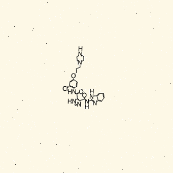 O=C(Nc1nc2ccccc2[nH]1)c1nc[nH]c1C(=O)Nc1ccc(OCCCN2CCNCC2)cc1Cl